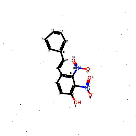 O=[N+]([O-])c1c(O)ccc(C=Cc2ccccc2)c1[N+](=O)[O-]